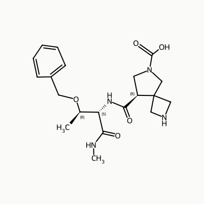 CNC(=O)[C@@H](NC(=O)[C@H]1CN(C(=O)O)CC12CNC2)[C@@H](C)OCc1ccccc1